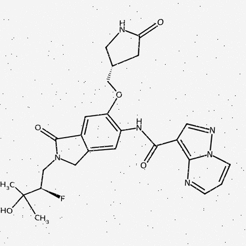 CC(C)(O)[C@H](F)CN1Cc2cc(NC(=O)c3cnn4cccnc34)c(OC[C@@H]3CNC(=O)C3)cc2C1=O